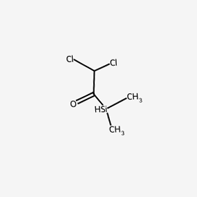 C[SiH](C)C(=O)C(Cl)Cl